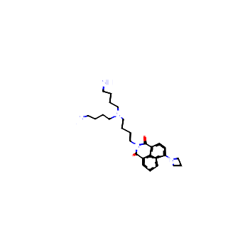 NCCCCN(CCCCN)CCCCN1C(=O)c2cccc3c(N4CCC4)ccc(c23)C1=O